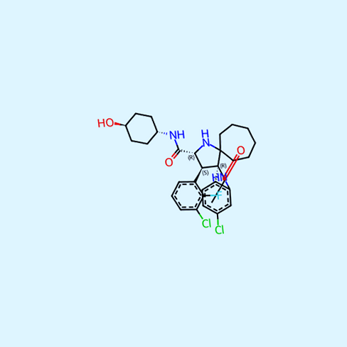 O=C(N[C@H]1CC[C@H](O)CC1)[C@@H]1NC2(CCCCCC2)[C@@]2(C(=O)Nc3cc(Cl)ccc32)[C@H]1c1cccc(Cl)c1F